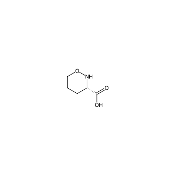 O=C(O)[C@@H]1CCCON1